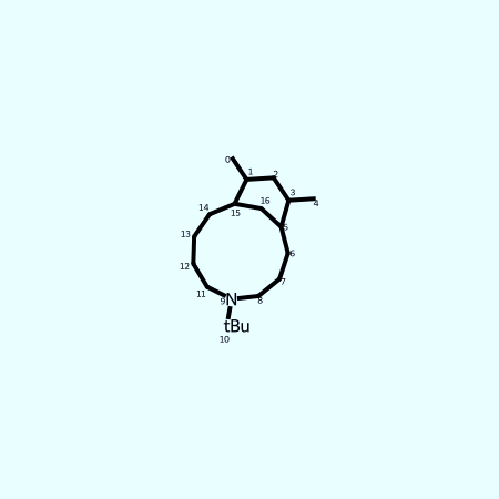 CC1CC(C)C2CCCN(C(C)(C)C)CCCCC1C2